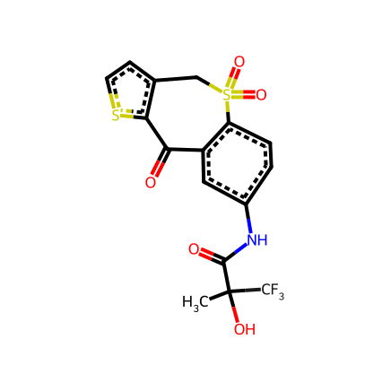 CC(O)(C(=O)Nc1ccc2c(c1)C(=O)c1sccc1CS2(=O)=O)C(F)(F)F